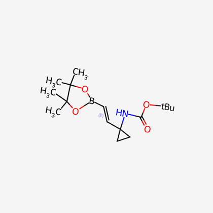 CC(C)(C)OC(=O)NC1(/C=C/B2OC(C)(C)C(C)(C)O2)CC1